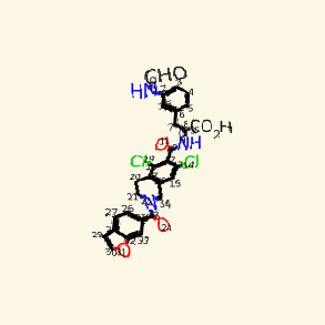 O=CNc1cccc(C[C@H](NC(=O)c2c(Cl)cc3c(c2Cl)CCN(C(=O)c2ccc4ccoc4c2)C3)C(=O)O)c1